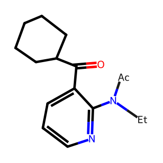 CCN(C(C)=O)c1ncccc1C(=O)C1CCCCC1